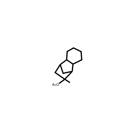 CC(=O)OC1(C)CC2CC1C1CCCCC21